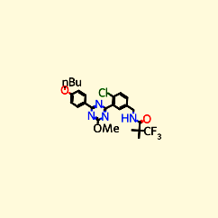 CCCCOc1ccc(-c2nc(OC)nc(-c3cc(CNC(=O)C(C)(C)C(F)(F)F)ccc3Cl)n2)cc1